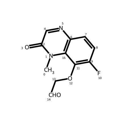 Cn1c(=O)cnc2ccc(F)c(OCC=O)c21